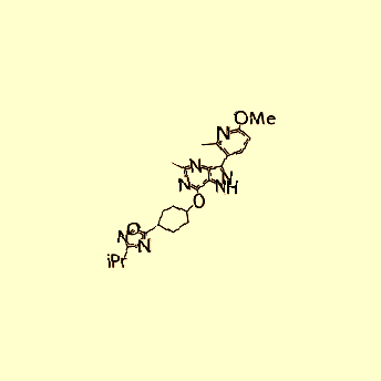 COc1ccc(-c2n[nH]c3c(OC4CCC(c5nc(C(C)C)no5)CC4)nc(C)nc23)c(C)n1